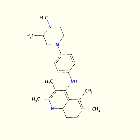 Cc1ccc2nc(C)c(C)c(Nc3ccc(N4CCN(C)C(C)C4)cc3)c2c1C